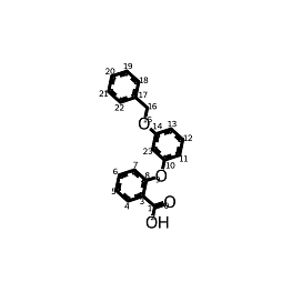 O=C(O)c1ccccc1Oc1cccc(OCc2ccccc2)c1